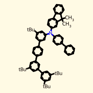 CC(C)(C)c1cc(-c2ccc(-c3cc(N(c4ccc(-c5ccccc5)cc4)c4ccc5c(c4)C(C)(C)c4ccccc4-5)cc(C(C)(C)C)c3)cc2)cc(-c2cc(C(C)(C)C)cc(C(C)(C)C)c2)c1